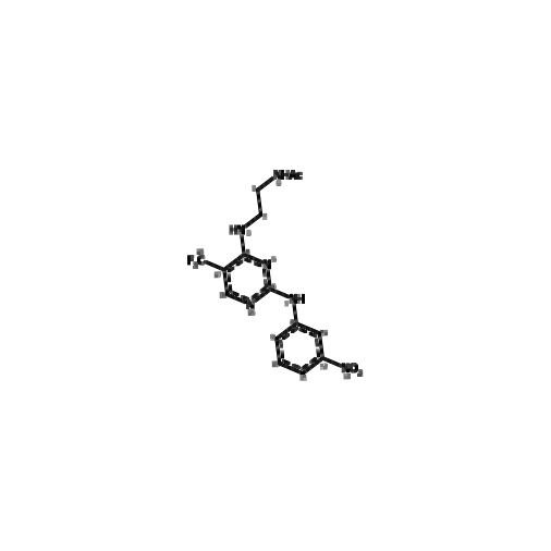 CC(=O)NCCNc1nc(Nc2cccc([N+](=O)[O-])c2)ncc1C(F)(F)F